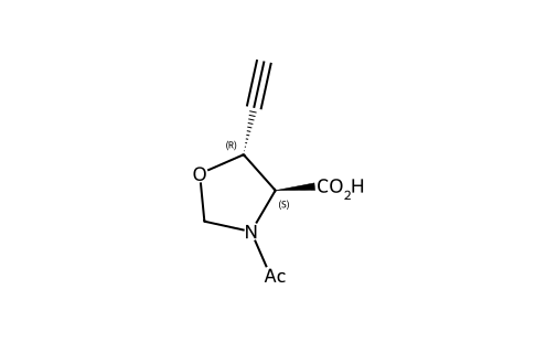 C#C[C@H]1OCN(C(C)=O)[C@@H]1C(=O)O